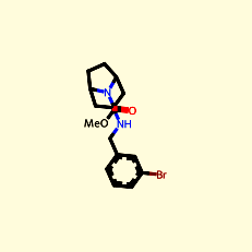 COC(=O)N1C2CCC1CC(NCc1cccc(Br)c1)C2